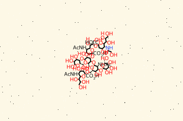 CC(=O)N[C@H]1[C@H](O[C@@H]2[C@H](O[C@]3(C(=O)O)C[C@H](O)[C@@H](NC(C)=O)[C@H]([C@H](O)[C@@H](CO)O[C@]4(C(=O)O)C[C@H](O)[C@@H](NC(=O)CO)[C@H]([C@H](O)[C@H](O)CO)O4)O3)[C@@H](O)[C@H](O[C@H]3[C@H](O)[C@@H](O)[C@H](O)O[C@@H]3CO)O[C@@H]2CO)O[C@H](CO[C@]2(C(=O)O)C[C@H](O)[C@@H](NC(C)=O)[C@H]([C@H](O)[C@H](O)CO)O2)[C@H](O)[C@@H]1O[C@@H]1O[C@H](CO)[C@H](O)[C@H](O)[C@H]1O